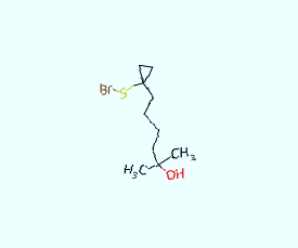 CC(C)(O)CCCCC1(SBr)CC1